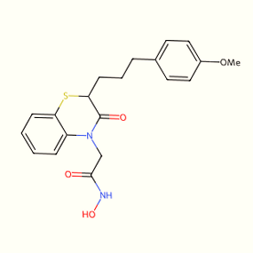 COc1ccc(CCCC2Sc3ccccc3N(CC(=O)NO)C2=O)cc1